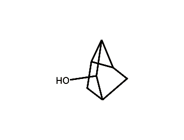 OC1C2CC3C(C2)C13